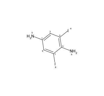 Nc1cc(I)c(N)c(I)c1